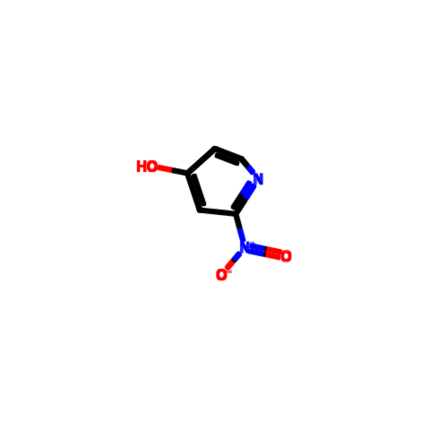 O=[N+]([O-])c1cc(O)ccn1